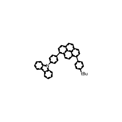 CC(C)(C)c1ccc(-c2ccc3ccc4ccc(-c5ccc(-n6c7ccccc7c7ccccc76)cc5)c5ccc2c3c45)cc1